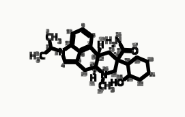 CC(C)n1cc2c3c(cccc31)[C@@H]1CC(C(N)=O)(C3CCCCC3O)CN(C)[C@H]1C2